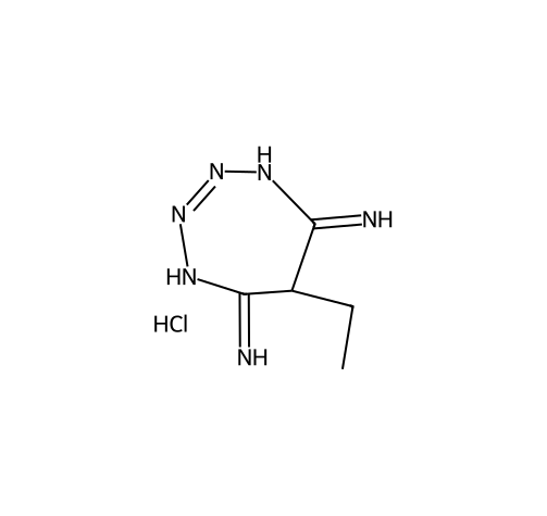 CCC1C(=N)NN=NNC1=N.Cl